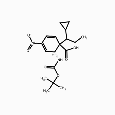 CCC(C1CC1)C1(C(=O)O)C=CC([N+](=O)[O-])=C[C@H]1NC(=O)OC(C)(C)C